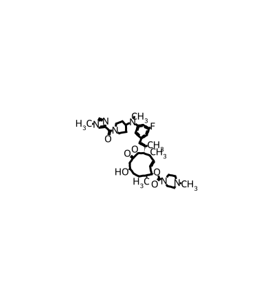 C/C(=C\c1cc(F)cc(N(C)C2CCN(C(=O)c3cn(C)cn3)CC2)c1)[C@H]1C(=O)C(=O)C[C@H](O)CC[C@H](C)[C@@H](OC(=O)N2CCN(C)CC2)/C=C/[C@@H]1C